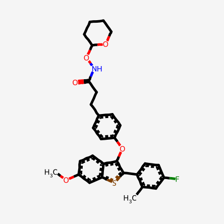 COc1ccc2c(Oc3ccc(CCC(=O)NOC4CCCCO4)cc3)c(-c3ccc(F)cc3C)sc2c1